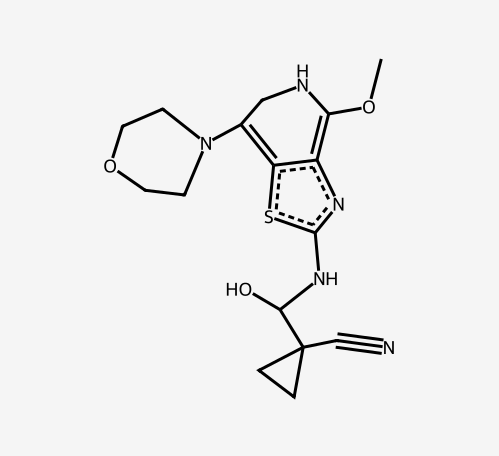 COC1=c2nc(NC(O)C3(C#N)CC3)sc2=C(N2CCOCC2)CN1